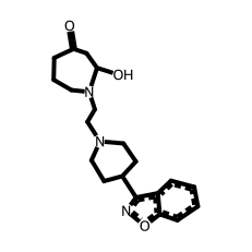 O=C1CCCN(CCN2CCC(c3noc4ccccc34)CC2)C(O)C1